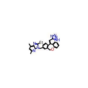 CCc1nc2c(C)cc(C)nc2n1Cc1ccc2c(c1)COc1ccccc1C2=Cc1nnn[nH]1